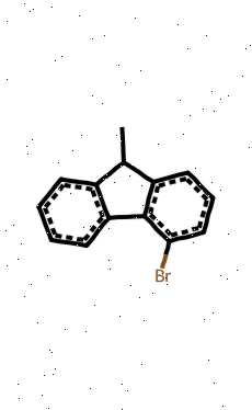 CC1c2ccccc2-c2c(Br)cccc21